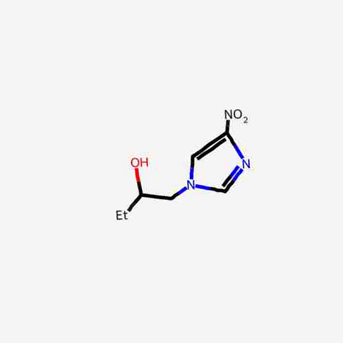 CCC(O)Cn1cnc([N+](=O)[O-])c1